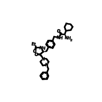 CCC(=O)N[C@H](Cc1ccc(CNC(=O)[C@@H](N)C2CCCCC2)cc1)C(=O)N1CCN(Cc2ccccc2)CC1